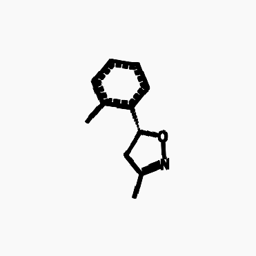 CC1=NO[C@@H](c2ccccc2C)C1